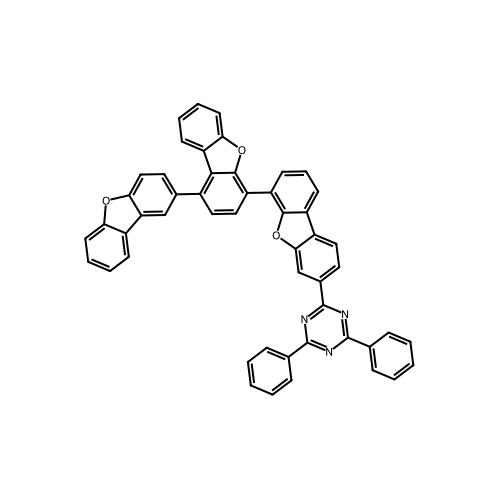 c1ccc(-c2nc(-c3ccccc3)nc(-c3ccc4c(c3)oc3c(-c5ccc(-c6ccc7oc8ccccc8c7c6)c6c5oc5ccccc56)cccc34)n2)cc1